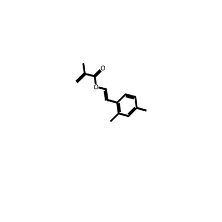 C=C(C)C(=O)OC=Cc1ccc(C)cc1C